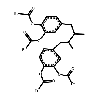 CCC(=O)Oc1ccc(CC(C)C(C)Cc2ccc(OC(=O)CC)c(OC(=O)CC)c2)cc1OC(=O)CC